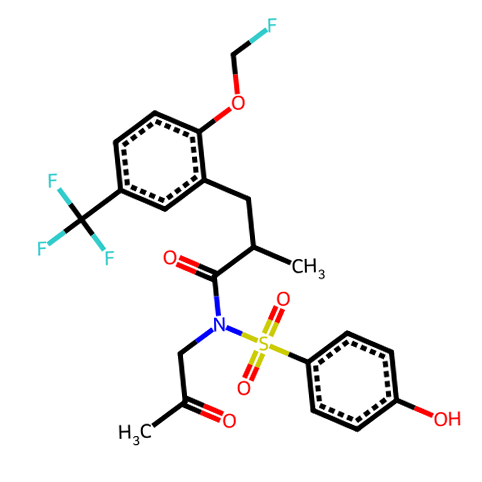 CC(=O)CN(C(=O)C(C)Cc1cc(C(F)(F)F)ccc1OCF)S(=O)(=O)c1ccc(O)cc1